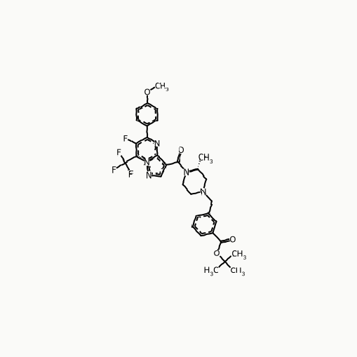 COc1ccc(-c2nc3c(C(=O)N4CCN(Cc5cccc(C(=O)OC(C)(C)C)c5)C[C@H]4C)cnn3c(C(F)(F)F)c2F)cc1